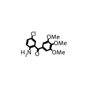 COc1cc(C(=O)c2cc(Cl)ccc2N)cc(OC)c1OC